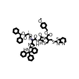 COc1ccc(COC(=O)C2=C(CSc3nc4ncccc4s3)CS[C@H]3C(NC(=O)/C(=N\O[C@@H](C)C(=O)OC(c4ccccc4)c4ccccc4)c4csc(NC(c5ccccc5)(c5ccccc5)c5ccccc5)n4)C(=O)N23)cc1